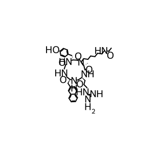 CC(=O)NCCCCCCN1C(=O)[C@@H](Cc2ccc(O)cc2)NC(=O)CNC(=O)[C@H](Cc2ccc3ccccc3c2)NC(=O)[C@H](CCCNC(=N)N)NC(=O)[C@H]1C